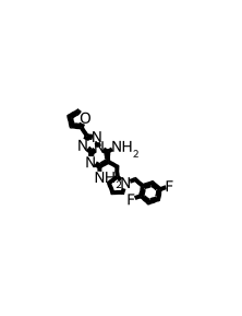 Nc1nc2nc(-c3ccco3)nn2c(N)c1CC1CCCN1Cc1cc(F)ccc1F